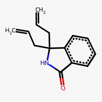 C=CCC1(CC=C)NC(=O)c2ccccc21